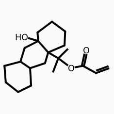 C=CC(=O)OC(C)(C)C12CCCCC1(O)CC1CCCCC1C2